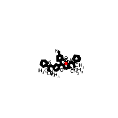 CN1c2cc3c(cc2-c2sc4ccccc4c2C1(C)C)C(c1ccc(CF)cc1S(=O)(=O)O)=c1cc2c(cc1O3)=[N+](C)C(C)(C)c1c-2sc2ccccc12